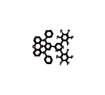 Fc1c(F)c(F)c(-c2cc(-c3cc(N(c4ccccc4)c4ccccc4)c(N4c5ccccc5Oc5ccccc54)c(N(c4ccccc4)c4ccccc4)c3)nc(-c3c(F)c(F)c(F)c(F)c3F)n2)c(F)c1F